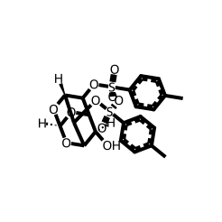 Cc1ccc(S(=O)(=O)OC2C3O[C@H]4OC(C(OS(=O)(=O)c5ccc(C)cc5)[C@@H]2O4)[C@@H]3O)cc1